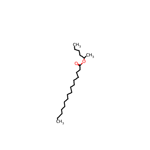 CCCCCCCCCCCCCCCC(=O)OC(C)CCCC